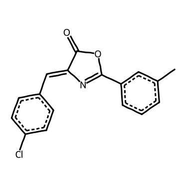 Cc1cccc(C2=N/C(=C\c3ccc(Cl)cc3)C(=O)O2)c1